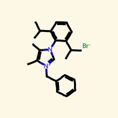 Cc1c(C)[n+](Cc2ccccc2)cn1-c1c(C(C)C)cccc1C(C)C.[Br-]